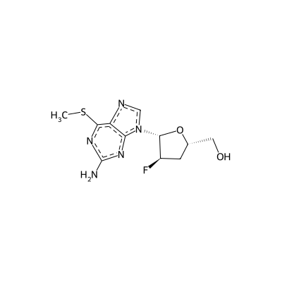 CSc1nc(N)nc2c1ncn2[C@@H]1O[C@H](CO)C[C@H]1F